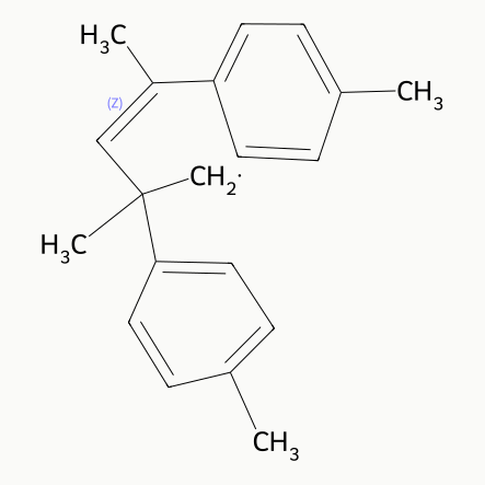 [CH2]C(C)(/C=C(/C)c1ccc(C)cc1)c1ccc(C)cc1